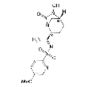 COc1ccc(S(=O)(=O)N=C(N)[C@@H]2CC[C@@H]3CN2C(=O)N3O)nc1